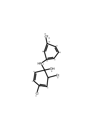 CCC1C=C(Cl)C=CC1(O)Nc1cccc(C(F)(F)F)c1